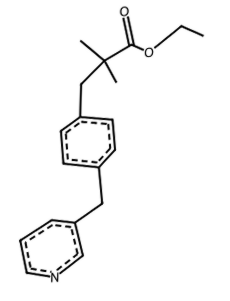 CCOC(=O)C(C)(C)Cc1ccc(Cc2cccnc2)cc1